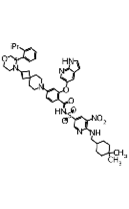 CC(C)c1ccccc1[C@@H]1COCCN1C1CC2(CCN(c3ccc(C(=O)NS(=O)(=O)c4cnc(NCC5CCC(C)(C)CC5)c([N+](=O)[O-])c4)c(Oc4cnc5[nH]ccc5c4)c3)CC2)C1